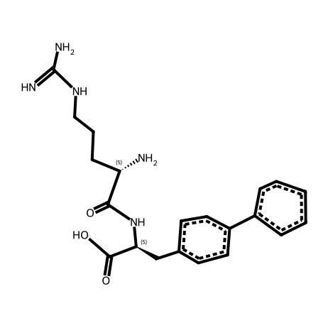 N=C(N)NCCC[C@H](N)C(=O)N[C@@H](Cc1ccc(-c2ccccc2)cc1)C(=O)O